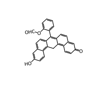 O=COc1ccccc1C1=c2ccc3c(c2Cc2c1ccc1cc(O)ccc21)C=CC(=O)C=3